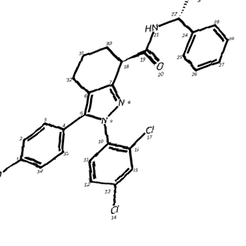 COc1ccc(-c2c3c(nn2-c2ccc(Cl)cc2Cl)[C@H](C(=O)N[C@H](C)c2ccccc2)CCC3)cc1